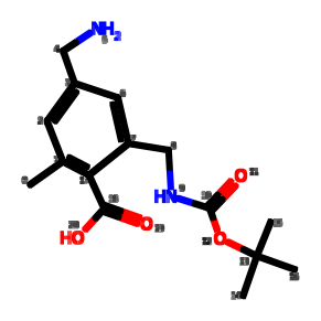 Cc1cc(CN)cc(CNC(=O)OC(C)(C)C)c1C(=O)O